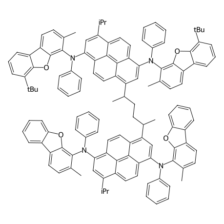 Cc1ccc2c(oc3ccccc32)c1N(c1ccccc1)c1cc(C(C)C)c2ccc3c(N(c4ccccc4)c4c(C)ccc5c4oc4ccccc45)cc(C(C)CCC(C)c4cc(N(c5ccccc5)c5c(C)ccc6c5oc5c(C(C)(C)C)cccc56)c5ccc6c(C(C)C)cc(N(c7ccccc7)c7c(C)ccc8c7oc7c(C(C)(C)C)cccc78)c7ccc4c5c67)c4ccc1c2c43